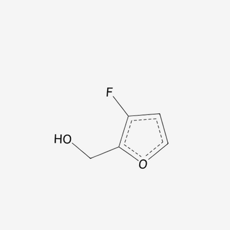 OCc1occc1F